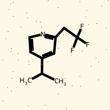 CC(C)c1ccnc(CC(F)(F)F)c1